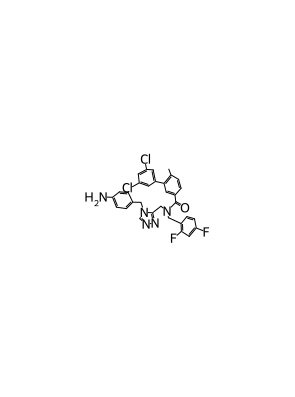 Cc1ccc(C(=O)N(Cc2ccc(F)cc2F)Cc2nncn2Cc2ccc(N)cc2)cc1-c1cc(Cl)cc(Cl)c1